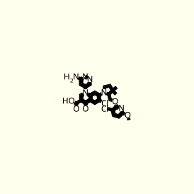 COc1ccc(Cl)c(OCC2N(c3cc4c(cc3Cl)c(=O)c(C(=O)O)cn4-c3cnnc(N)c3)CCC2(C)C)n1